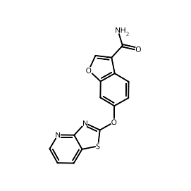 NC(=O)c1coc2cc(Oc3nc4ncccc4s3)ccc12